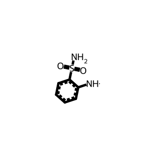 [NH]c1ccccc1S(N)(=O)=O